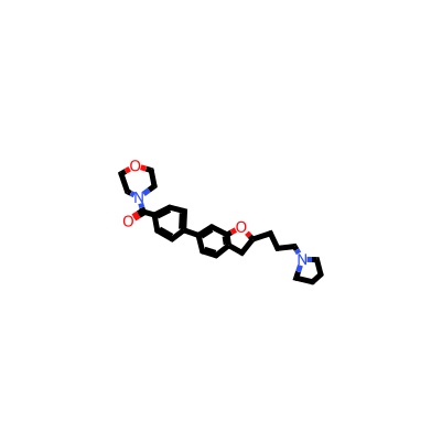 O=C(c1ccc(-c2ccc3c(c2)OC(CCCN2CCCC2)C3)cc1)N1CCOCC1